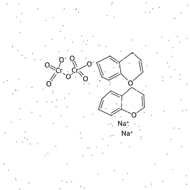 C1=COc2ccccc2C1.C1=COc2ccccc2C1.[Na+].[Na+].[O]=[Cr](=[O])([O-])[O][Cr](=[O])(=[O])[O-]